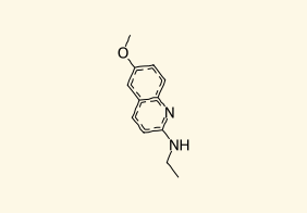 CCNc1ccc2cc(OC)ccc2n1